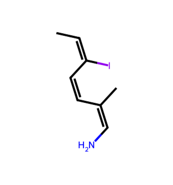 C\C=C(I)/C=C\C(C)=C/N